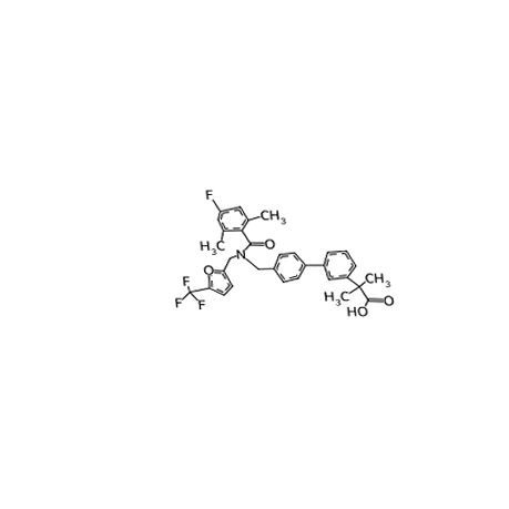 Cc1cc(F)cc(C)c1C(=O)N(Cc1ccc(-c2cccc(C(C)(C)C(=O)O)c2)cc1)Cc1ccc(C(F)(F)F)o1